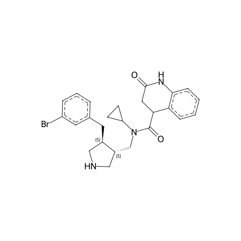 O=C1CC(C(=O)N(C[C@@H]2CNC[C@H]2Cc2cccc(Br)c2)C2CC2)c2ccccc2N1